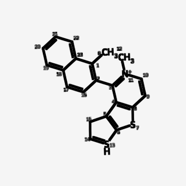 Cc1c(-c2c3c4c(sc3cc[n+]2C)[SH]=CC4)ccc2ccccc12